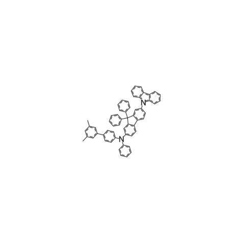 Cc1cc(C)cc(-c2ccc(N(c3ccccc3)c3ccc4c(c3)C(c3ccccc3)(c3ccccc3)c3cc(-n5c6ccccc6c6ccccc65)ccc3-4)cc2)c1